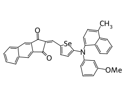 COc1cccc(N(c2ccc(C=C3C(=O)c4cc5ccccc5cc4C3=O)[se]2)c2ccc(C)c3ccccc23)c1